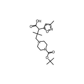 Cc1cc(C(C(=O)O)C(C)(C)CN2CCN(C(=O)OC(C)(C)C)CC2)on1